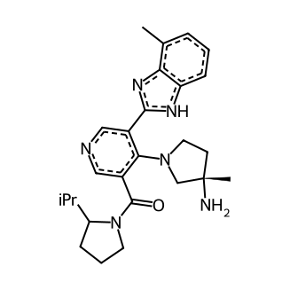 Cc1cccc2[nH]c(-c3cncc(C(=O)N4CCCC4C(C)C)c3N3CC[C@](C)(N)C3)nc12